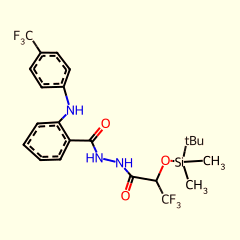 CC(C)(C)[Si](C)(C)OC(C(=O)NNC(=O)c1ccccc1Nc1ccc(C(F)(F)F)cc1)C(F)(F)F